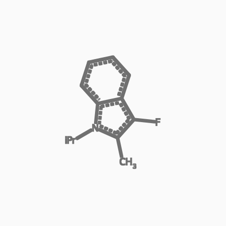 Cc1c(F)c2ccccc2n1C(C)C